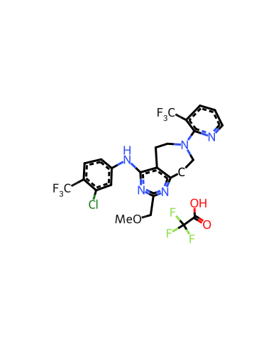 COCc1nc2c(c(Nc3ccc(C(F)(F)F)c(Cl)c3)n1)CCN(c1ncccc1C(F)(F)F)CC2.O=C(O)C(F)(F)F